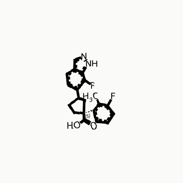 Cc1c(F)cccc1[C@]1(C(=O)O)CCC(c2ccc3cn[nH]c3c2F)C1